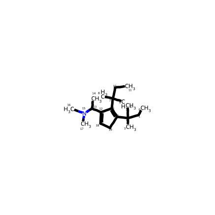 CCC(C)(C)C1=C(C(C)(C)CC)C(C(C)N(C)C)=CC1